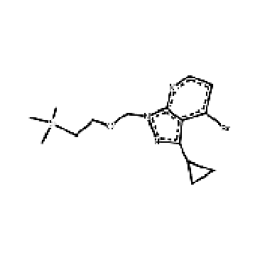 C[Si](C)(C)CCOCn1nc(C2CC2)c2c(Br)ccnc21